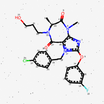 C[C@H]1C(=O)N(C)c2nc(Oc3cccc(F)c3)n(Cc3ccc(Cl)cc3)c2C(=O)N1CCCO